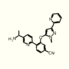 CC(N)c1ccc(-c2ccc(C#N)cc2Oc2cc(-c3ccccn3)nn2C)nc1